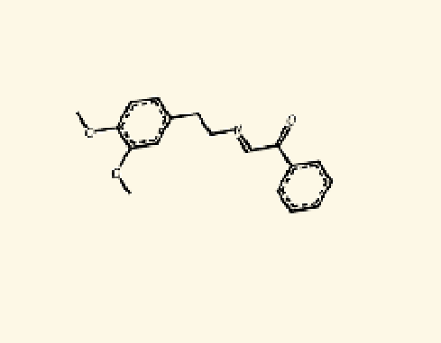 COc1ccc(CCN=CC(=O)c2ccccc2)cc1OC